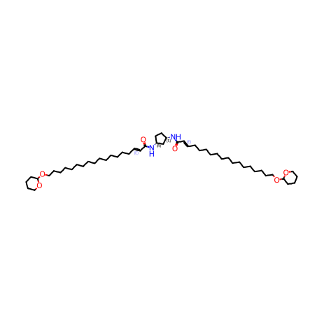 O=C(/C=C/CCCCCCCCCCCCCCCOC1CCCCO1)N[C@@H]1CC[C@H](NC(=O)/C=C/CCCCCCCCCCCCCCCOC2CCCCO2)C1